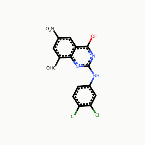 O=Cc1cc([N+](=O)[O-])cc2c(O)nc(Nc3ccc(Cl)c(Cl)c3)nc12